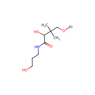 CCOCC(C)(C)C(O)C(=O)NCCCO